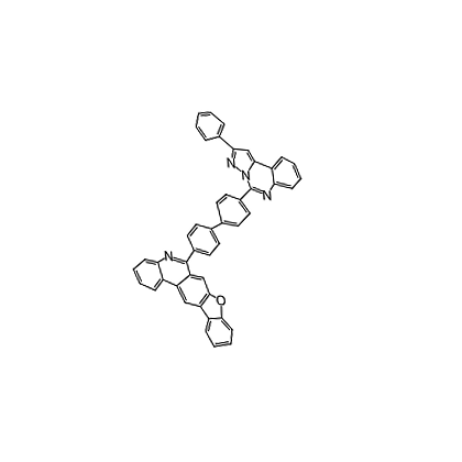 c1ccc(-c2cc3c4ccccc4nc(-c4ccc(-c5ccc(-c6nc7ccccc7c7cc8c(cc67)oc6ccccc68)cc5)cc4)n3n2)cc1